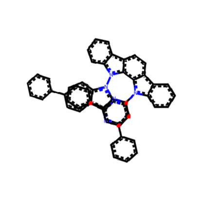 c1ccc(-c2ccc(-c3nc(-c4ccccc4)cc(-n4c5ccccc5c5ccc6c7ccccc7n(-n7c8ccccc8c8ccccc87)c6c54)n3)cc2)cc1